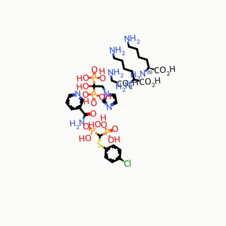 NC(=O)c1cccnc1.NCC(=O)O.NCCCCC(N)C(=O)O.NCCCC[C@H](N)C(=O)O.O=P(O)(O)C(O)(Cn1ccnc1)P(=O)(O)O.O=P(O)(O)C(Sc1ccc(Cl)cc1)P(=O)(O)O